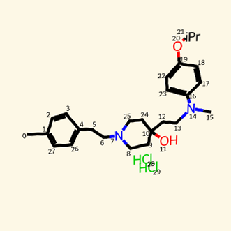 Cc1ccc(CCN2CCC(O)(CCN(C)c3ccc(OC(C)C)cc3)CC2)cc1.Cl.Cl